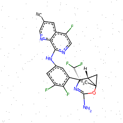 CC12C[C@H]1[C@@](c1cc(Nc3ncc(F)c4cc(C#N)cnc34)cc(F)c1F)(C(F)F)N=C(N)O2